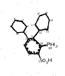 O=S(=O)(O)c1ccc(C2CCCCC2)c(C2CCCCC2)c1P